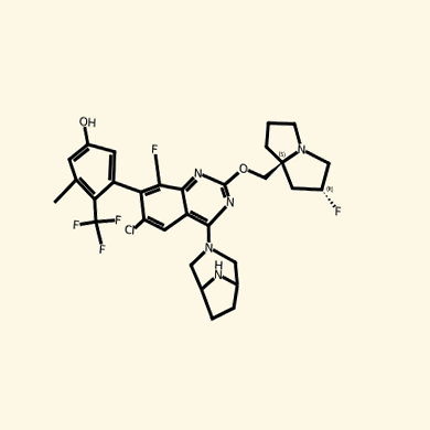 Cc1cc(O)cc(-c2c(Cl)cc3c(N4CC5CCC(C4)N5)nc(OC[C@@]45CCCN4C[C@H](F)C5)nc3c2F)c1C(F)(F)F